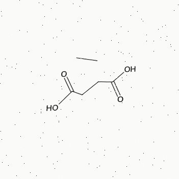 CC.O=C(O)CCC(=O)O